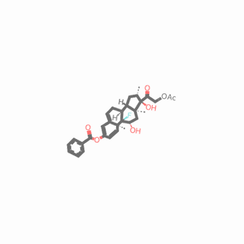 CC(=O)OCC(=O)[C@@]1(O)[C@@H](C)C[C@H]2[C@@H]3CC=C4C=C(OC(=O)c5ccccc5)C=C[C@]4(C)[C@@]3(F)[C@@H](O)C[C@@]21C